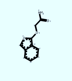 NC(=O)COc1occ2ccccc12